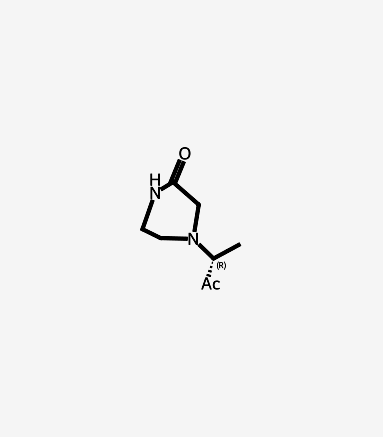 CC(=O)[C@@H](C)N1CCNC(=O)C1